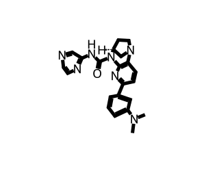 CN(C)c1cccc(-c2ccc3c(n2)N(C(=O)Nc2cnccn2)[C@H]2CCN3C2)c1